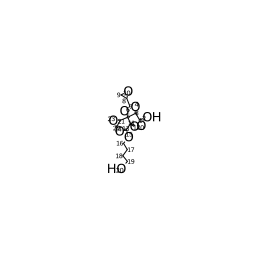 O=C(O)C(=O)C(OCC1CO1)(C(=O)C(=O)OCCCCO)C1CO1